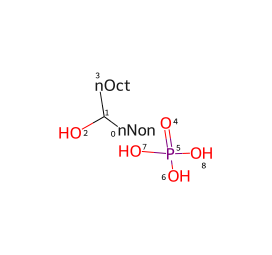 CCCCCCCCCC(O)CCCCCCCC.O=P(O)(O)O